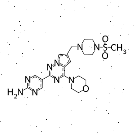 CS(=O)(=O)N1CCN(Cc2cc3c(N4CCOCC4)nc(-c4cnc(N)nc4)nn3c2)CC1